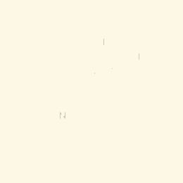 CN1C[C]=CC1OC(F)(F)F